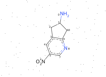 NC1Cc2cc([N+](=O)[O-])cnc2C1